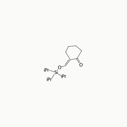 CC(C)[Si](OC=C1CCCCC1=O)(C(C)C)C(C)C